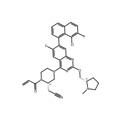 C=CC(=O)N1CCN(c2nc(OC[C@@H]3CCCN3C)nc3cc(-c4cccc5ccc(F)c(Cl)c45)c(F)cc23)C[C@@H]1CC#N